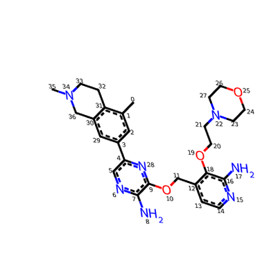 Cc1cc(-c2cnc(N)c(OCc3ccnc(N)c3OCCN3CCOCC3)n2)cc2c1CCN(C)C2